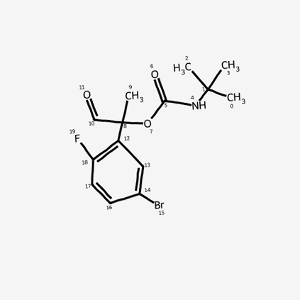 CC(C)(C)NC(=O)OC(C)(C=O)c1cc(Br)ccc1F